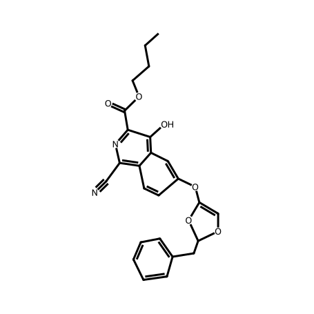 CCCCOC(=O)c1nc(C#N)c2ccc(OC3=COC(Cc4ccccc4)O3)cc2c1O